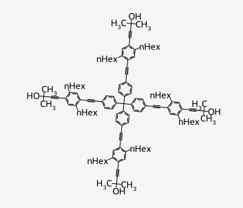 CCCCCCc1cc(C#CC(C)(C)O)c(CCCCCC)cc1C#Cc1ccc(C(c2ccc(C#Cc3cc(CCCCCC)c(C#CC(C)(C)O)cc3CCCCCC)cc2)(c2ccc(C#Cc3cc(CCCCCC)c(C#CC(C)(C)O)cc3CCCCCC)cc2)c2ccc(C#Cc3cc(CCCCCC)c(C#CC(C)(C)O)cc3CCCCCC)cc2)cc1